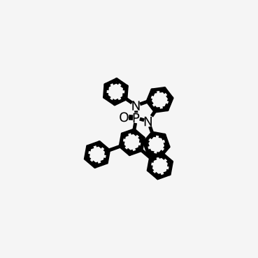 O=P1(c2cc(-c3ccccc3)cc(-c3ccccc3)c2)N(c2ccccc2)c2ccccc2N1c1ccccc1